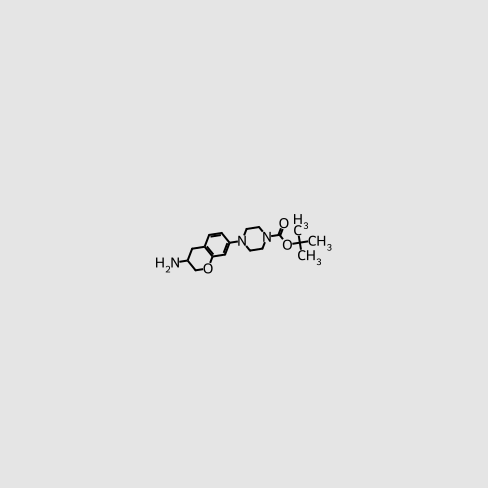 CC(C)(C)OC(=O)N1CCN(c2ccc3c(c2)OCC(N)C3)CC1